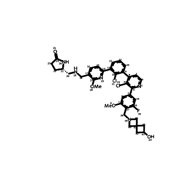 COc1cc(-c2nccc(-c3cccc(-c4ccc(CNC[C@@H]5CCC(=O)N5)c(OC)n4)c3Cl)c2Cl)cc(F)c1CN1CC2(CC(O)C2)C1